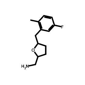 Cc1ccc(F)cc1CC1CCC(CN)O1